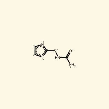 NC(=O)NSc1nccs1